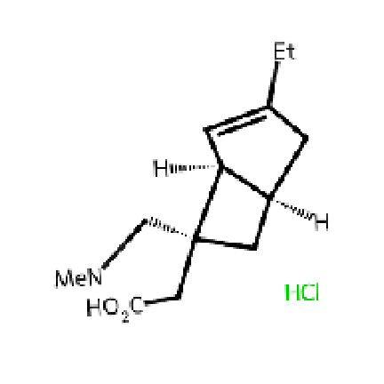 CCC1=C[C@H]2[C@@H](C1)C[C@@]2(CNC)CC(=O)O.Cl